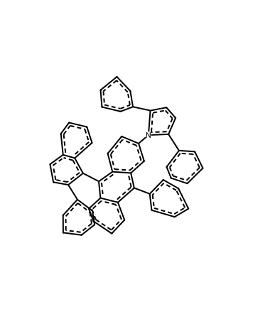 c1ccc(-c2ccc3ccccc3c2-c2c3ccccc3c(-c3ccccc3)c3cc(-n4c(-c5ccccc5)ccc4-c4ccccc4)ccc23)cc1